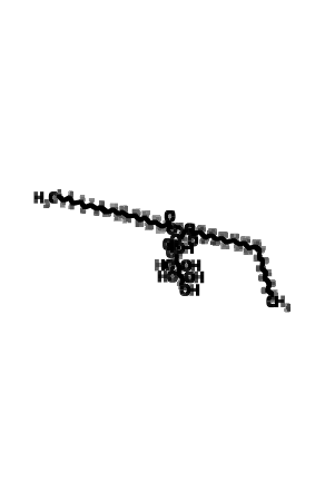 CCCCCCCCCC=CCCCCCCCCCCC(=O)OC[C@H](COP(=O)(O)OC[C@@H](O)[C@@H](O)[C@H](O)[C@H](O)CO)OC(=O)CCCCCCCCCC/C=C\CCCCCCCCC